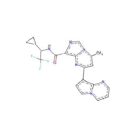 Cc1cc(-c2ccn3cccnc23)nc2c(C(=O)NC(C3CC3)C(F)(F)F)ncn12